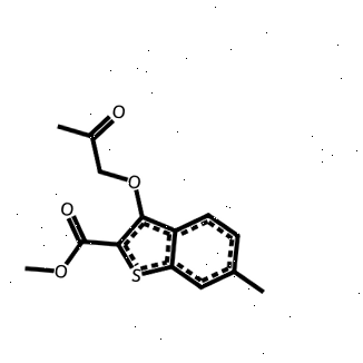 COC(=O)c1sc2cc(C)ccc2c1OCC(C)=O